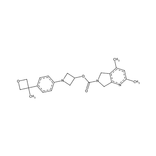 Cc1cc(C)c2c(n1)CN(C(=O)OC1CN(c3ccc(C4(C)COC4)cc3)C1)C2